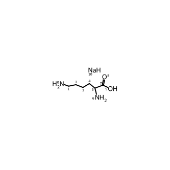 NCCCCC(N)C(=O)O.[NaH]